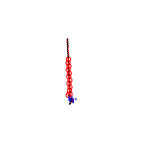 CCCCCCCCCCCCCCCCCCOCCOCCOCCOCCOCCOCCOCCOCCOCCOCCOC(=O)CCN1CC[N+](C)(CCCC)CC1